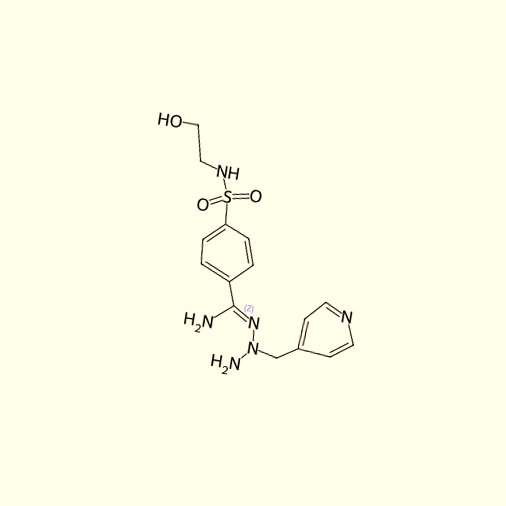 N/C(=N\N(N)Cc1ccncc1)c1ccc(S(=O)(=O)NCCO)cc1